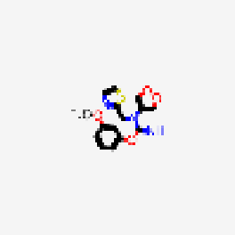 N=C(Oc1cccc(OC(F)(F)F)c1)N(Cc1nccs1)C1=COOC1